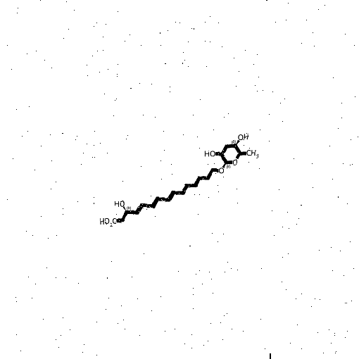 CC1O[C@@H](OCCCCCCCCCCCC[C@@H](O)CC(=O)O)C(O)C[C@H]1O